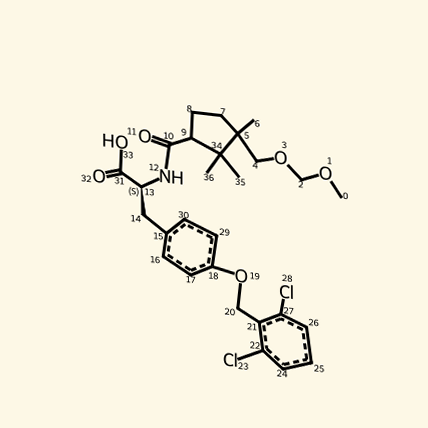 COCOCC1(C)CCC(C(=O)N[C@@H](Cc2ccc(OCc3c(Cl)cccc3Cl)cc2)C(=O)O)C1(C)C